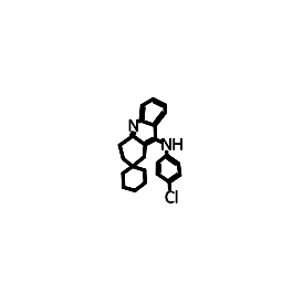 Clc1ccc(Nc2c3c(nc4ccccc24)CCC2(CCCCC2)C3)cc1